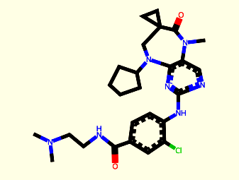 CN(C)CCNC(=O)c1ccc(Nc2ncc3c(n2)N(C2CCCC2)CC2(CC2)C(=O)N3C)c(Cl)c1